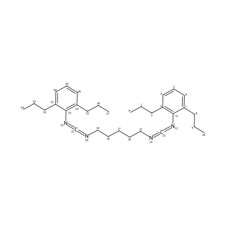 CCCc1cccc(CCC)c1N=C=NCCCCCN=C=Nc1c(CCC)cccc1CCC